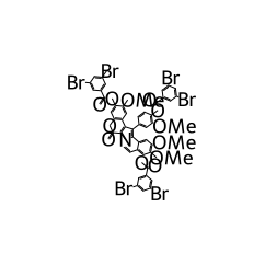 COc1cc(-c2c3c4cc(OC)c(OC(=O)c5cc(Br)cc(Br)c5)cc4oc(=O)c3n3ccc4c(OC(=O)c5cc(Br)cc(Br)c5)c(OC)c(OC)cc4c23)ccc1OC(=O)c1cc(Br)cc(Br)c1